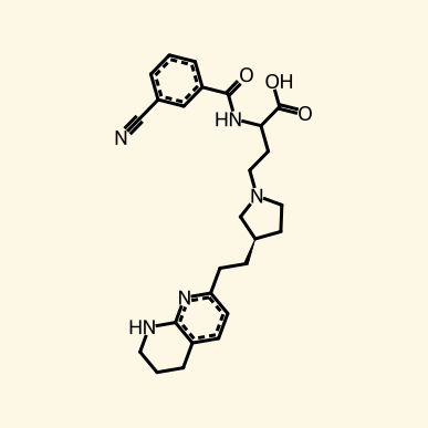 N#Cc1cccc(C(=O)NC(CCN2CC[C@@H](CCc3ccc4c(n3)NCCC4)C2)C(=O)O)c1